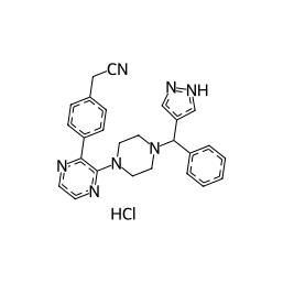 Cl.N#CCc1ccc(-c2nccnc2N2CCN(C(c3ccccc3)c3cn[nH]c3)CC2)cc1